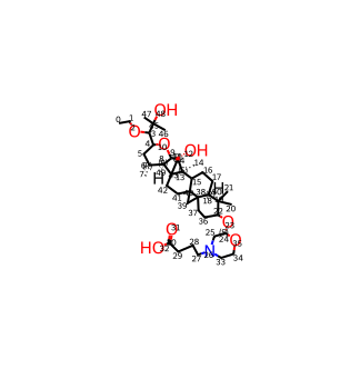 CCOC(C1C[C@@H](C)[C@H]2C(O1)[C@H](O)[C@@]1(C)C3CC[C@H]4C(C)(C)C(O[C@H]5CN(CCCC(=O)O)CCO5)CCC45CC35CCC21C)C(C)(C)O